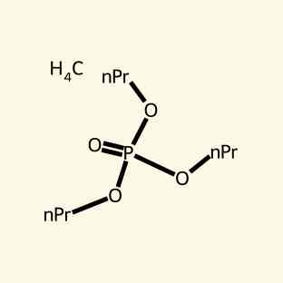 C.CCCOP(=O)(OCCC)OCCC